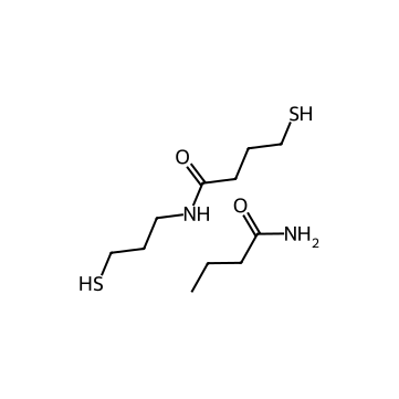 CCCC(N)=O.O=C(CCCS)NCCCS